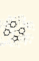 CC1=C(C)C(C)[C]([Ti]([c]2cc(C)cc(C)c2)[SiH](c2cc([Si](C)(C)C)cc([Si](C)(C)C)c2)c2cc([Si](C)(C)C)cc([Si](C)(C)C)c2)=C1C.Cl.Cl.Cl